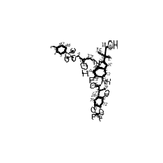 Cc1ccc(S(=O)(=O)OCC(O)Cn2c(C(C)(C)CO)cc3cc(NC(=O)[C@@]4(C)COc5cc6c(cc54)OC(F)(F)O6)c(F)cc32)cc1